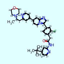 C[C@@H](Cc1cc(-c2ccn3c(-c4ccc(CC(=O)Nc5cc(C(C)(C)C)ccn5)c(F)c4)cnc3c2)ccn1)N1CCOCC1